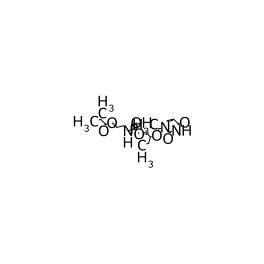 CCC(COP(O)NCCOC(=O)C(C)C)OC(C)n1ccc(=O)[nH]c1=O